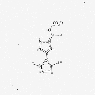 CCOC(=O)O[C@H](C)n1nnc(-c2c(I)cnn2C)n1